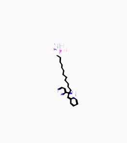 NC(=O)N(O)CCCCCCCCCCCCC1(c2cccnc2)C=c2ccccc2=N1